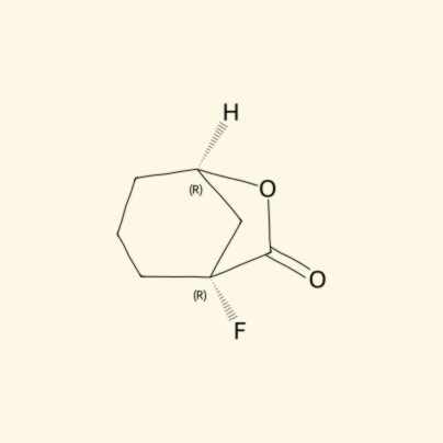 O=C1O[C@@H]2CCC[C@@]1(F)C2